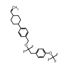 C=CC1CCC(c2ccc(COC(F)(F)Cc3ccc(OC(F)(F)F)cc3)cc2)CC1